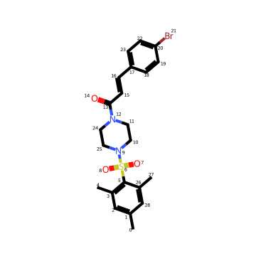 Cc1cc(C)c(S(=O)(=O)N2CCN(C(=O)C=Cc3ccc(Br)cc3)CC2)c(C)c1